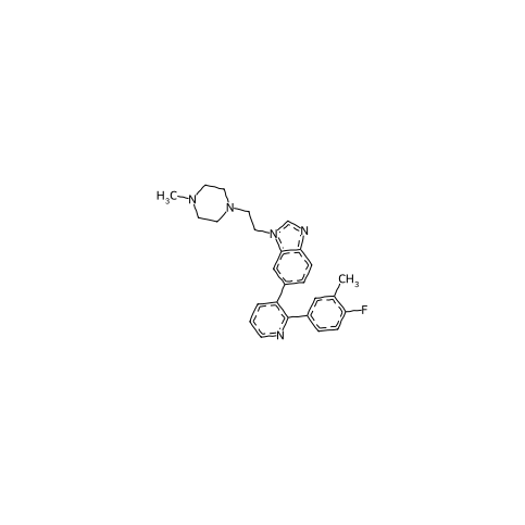 Cc1cc(-c2ncccc2-c2ccc3ncn(CCN4CCN(C)CC4)c3c2)ccc1F